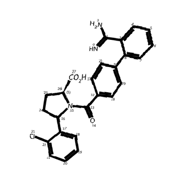 N=C(N)c1ccccc1-c1ccc(C(=O)N2C(c3ccccc3Cl)CC[C@H]2C(=O)O)cc1